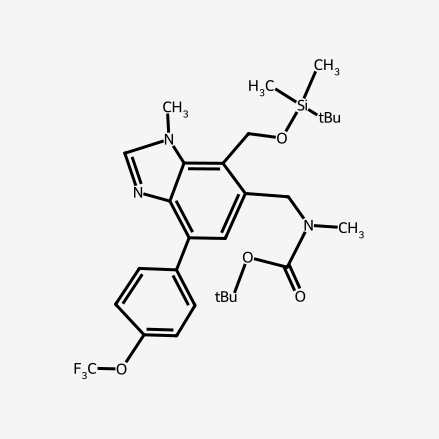 CN(Cc1cc(-c2ccc(OC(F)(F)F)cc2)c2ncn(C)c2c1CO[Si](C)(C)C(C)(C)C)C(=O)OC(C)(C)C